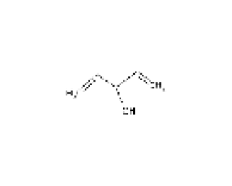 C=CC(O)C=C